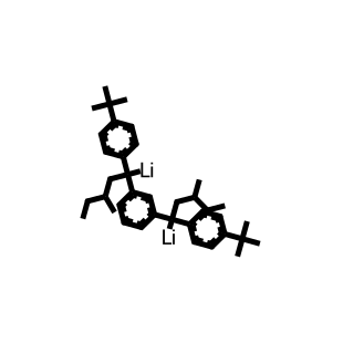 [Li][C](CC(C)CC)(c1ccc(C(C)(C)C)cc1)c1cccc([C]([Li])(CC(C)CC)c2ccc(C(C)(C)C)cc2)c1